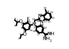 CCOc1cc(OC(C)C)c(F)c(N(Cc2nc3c(C)cccc3[nH]2)c2ccc(C(=N)N)cc2)c1